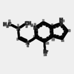 CN(C)/C=N\c1ncc2[nH]ccc2c1Br